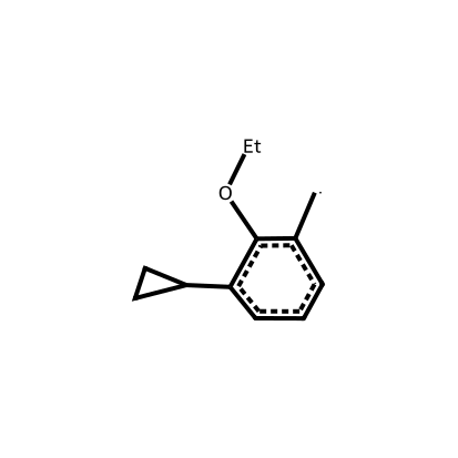 [CH2]c1cccc(C2CC2)c1OCC